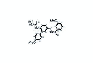 CCNC(=O)Nc1ccc(CN[C@H](C)c2cccc(OC)c2)cc1-c1ccc(OC)cc1